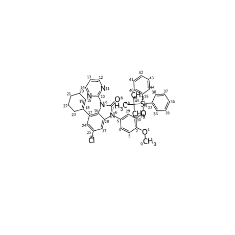 COc1ccc(-n2c(=O)n(-c3ncccn3)c3c(C4=CCCCC4)cc(Cl)cc32)cc1O[Si](c1ccccc1)(c1ccccc1)C(C)(C)C